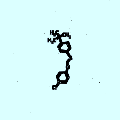 CC(C)(C)c1ccc(SCOc2ccc(Cl)cc2)cc1